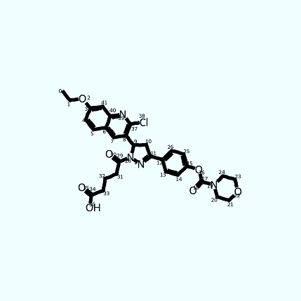 CCOc1ccc2cc(C3CC(c4ccc(OC(=O)N5CCOCC5)cc4)=NN3C(=O)CCCC(=O)O)c(Cl)nc2c1